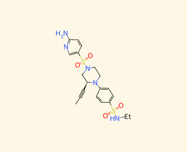 CC#C[C@H]1CN(S(=O)(=O)c2ccc(N)nc2)CCN1c1ccc(S(=O)(=O)NCC)cc1